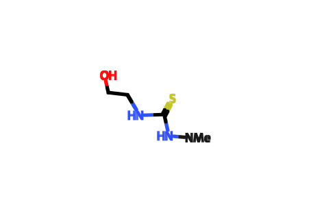 CNNC(=S)NCCO